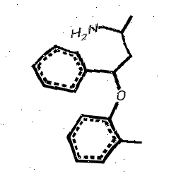 Cc1ccccc1OC(CC(C)N)c1ccccc1